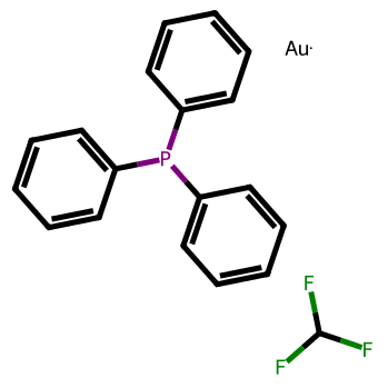 FC(F)F.[Au].c1ccc(P(c2ccccc2)c2ccccc2)cc1